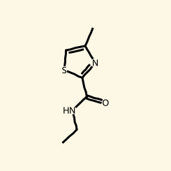 CCNC(=O)c1nc(C)cs1